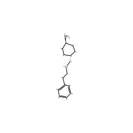 N[C@H]1CC[C@H](COCCc2ccccc2)CC1